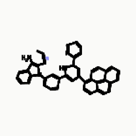 C/C=C\c1c(N)c2ccccc2n1-c1cccc(C2=CC(c3ccc4ccc5cccc6ccc3c4c56)=CC(c3ccccn3)N2)c1